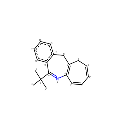 CC(C)(C)C1=NC2=C(CC=CC=C2)Cc2ccccc21